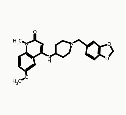 COc1ccc2c(c1)c(NC1CCN(Cc3ccc4c(c3)OCO4)CC1)cc(=O)n2C